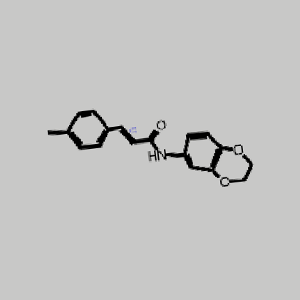 Cc1ccc(/C=C/C(=O)Nc2ccc3c(c2)OCCO3)cc1